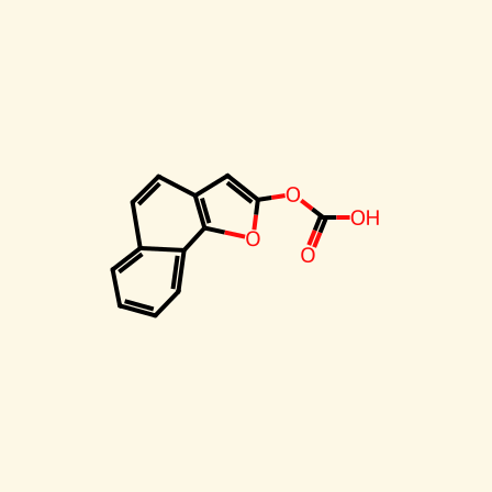 O=C(O)Oc1cc2ccc3ccccc3c2o1